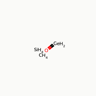 C.[O]=[GeH2].[SiH4]